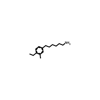 CCc1ccc(CCCCCCN)cc1C